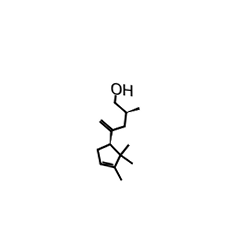 C=C(C[C@H](C)CO)[C@@H]1CC=C(C)C1(C)C